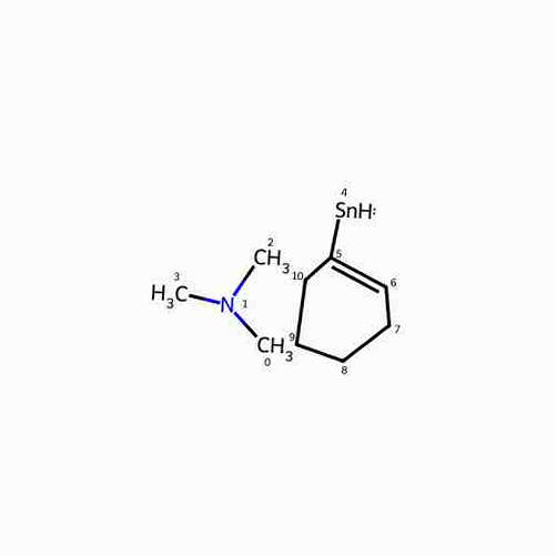 CN(C)C.[SnH][C]1=CCCCC1